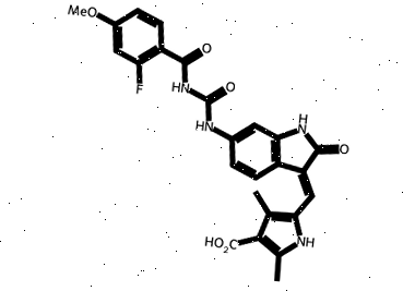 COc1ccc(C(=O)NC(=O)Nc2ccc3c(c2)NC(=O)C3=Cc2[nH]c(C)c(C(=O)O)c2C)c(F)c1